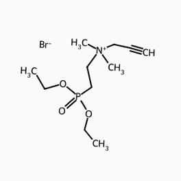 C#CC[N+](C)(C)CCP(=O)(OCC)OCC.[Br-]